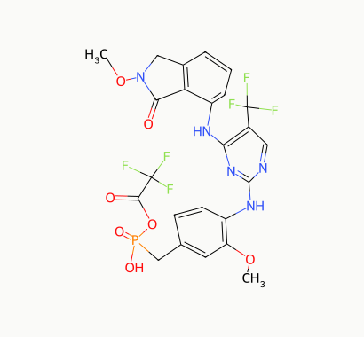 COc1cc(CP(=O)(O)OC(=O)C(F)(F)F)ccc1Nc1ncc(C(F)(F)F)c(Nc2cccc3c2C(=O)N(OC)C3)n1